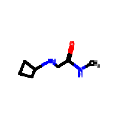 CNC(=O)CNC1CCC1